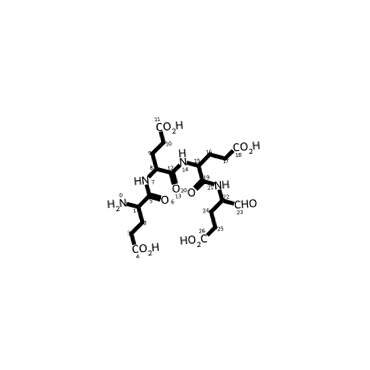 NC(CCC(=O)O)C(=O)NC(CCC(=O)O)C(=O)NC(CCC(=O)O)C(=O)NC(C=O)CCC(=O)O